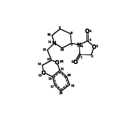 O=C1COC(=O)N1C1CCCN(CC2COc3ccccc3O2)C1